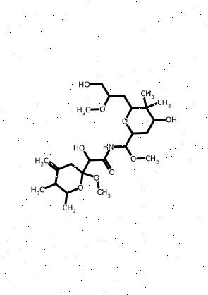 C=C1CC(OC)(C(O)C(=O)NC(OC)C2CC(O)C(C)(C)C(CC(CO)OC)O2)OC(C)C1C